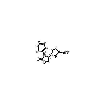 N#CC1CCN(C2COC(=O)N2c2ccccc2)C1